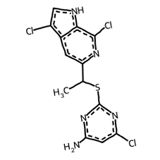 CC(Sc1nc(N)cc(Cl)n1)c1cc2c(Cl)c[nH]c2c(Cl)n1